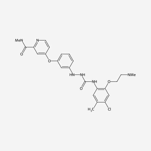 CNCCOc1cc(Cl)c(C)cc1NC(=O)NNc1cccc(Oc2ccnc(C(=O)NC)c2)c1